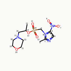 Cc1ncc([N+](=O)[O-])n1CS(=O)(=O)OC(C)CN1CCOCC1